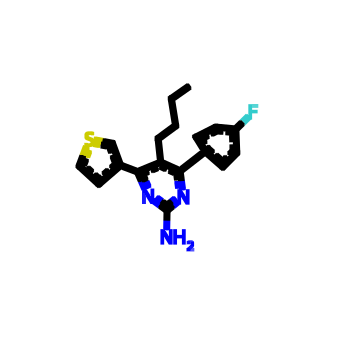 CCCCc1c(-c2ccc(F)cc2)nc(N)nc1-c1ccsc1